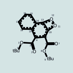 CC(C)(C)OC(=O)c1c(C(=O)OC(C)(C)C)c2ooc2c2ccccc12